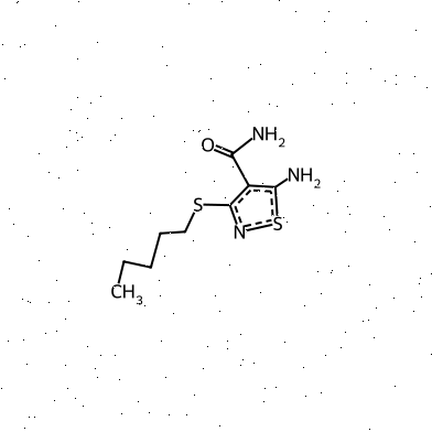 CCCCCSc1nsc(N)c1C(N)=O